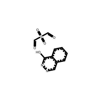 O=CS(=O)(=O)C=O.Oc1nncc2ccccc12